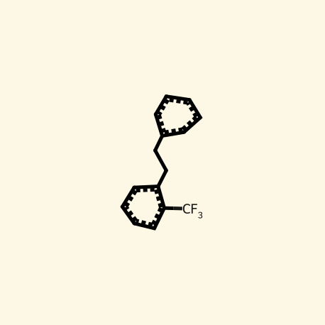 FC(F)(F)c1ccccc1CCc1ccccc1